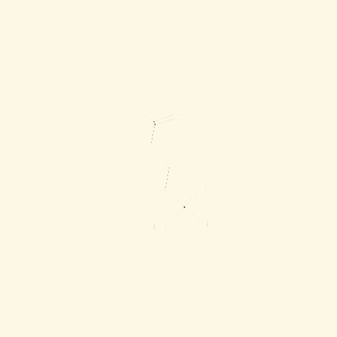 CC(=O)OCCC(C)(C)S